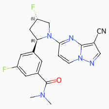 CN(C)C(=O)c1cc(F)cc([C@H]2C[C@H](F)CN2c2ccn3ncc(C#N)c3n2)c1